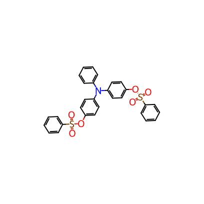 O=S(=O)(Oc1ccc(N(c2ccccc2)c2ccc(OS(=O)(=O)c3ccccc3)cc2)cc1)c1ccccc1